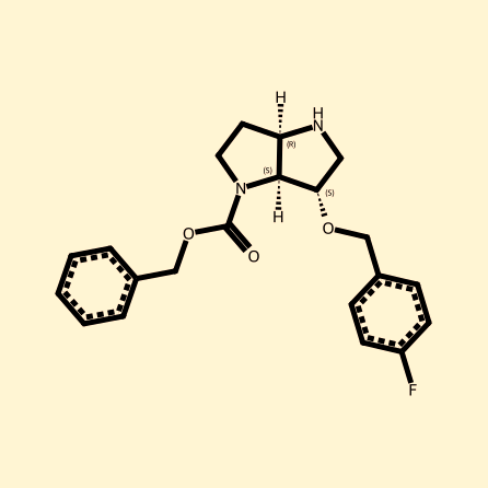 O=C(OCc1ccccc1)N1CC[C@H]2NC[C@H](OCc3ccc(F)cc3)[C@H]21